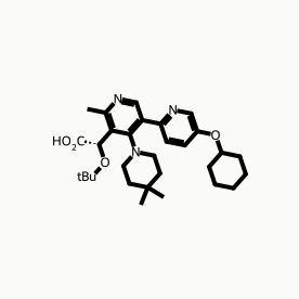 Cc1ncc(-c2ccc(OC3CCCCC3)cn2)c(N2CCC(C)(C)CC2)c1[C@H](OC(C)(C)C)C(=O)O